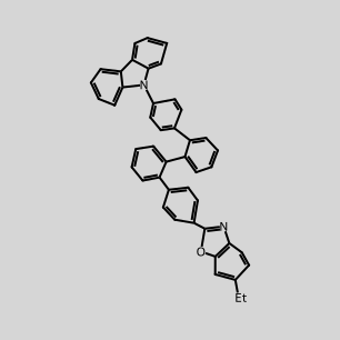 CCc1ccc2nc(-c3ccc(-c4ccccc4-c4ccccc4-c4ccc(-n5c6ccccc6c6ccccc65)cc4)cc3)oc2c1